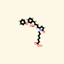 O=C(O)CCCCCCN1C(=O)CCC1C=C[C@H](O)Cc1cccc(Oc2ccccc2)c1